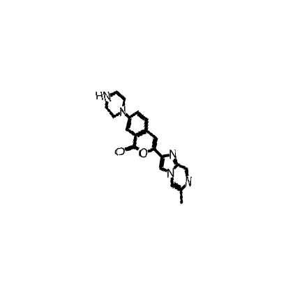 Cc1cn2cc(-c3cc4ccc(N5CCNCC5)cc4c(=O)o3)nc2cn1